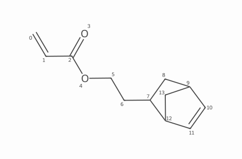 C=CC(=O)OCCC1CC2C=CC1C2